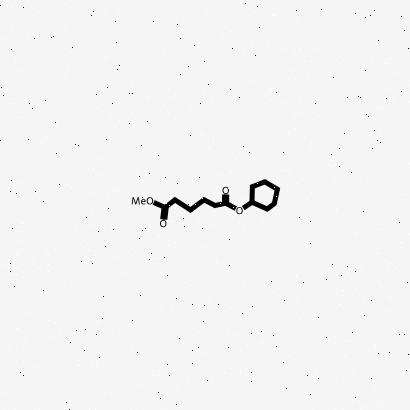 COC(=O)CCCCC(=O)OC1CCCCC1